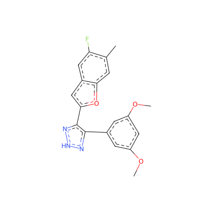 COc1cc(OC)cc(-c2n[nH]nc2-c2cc3cc(F)c(C)cc3o2)c1